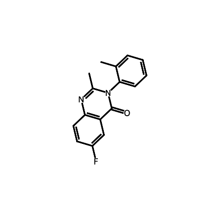 Cc1ccccc1-n1c(C)nc2ccc(F)cc2c1=O